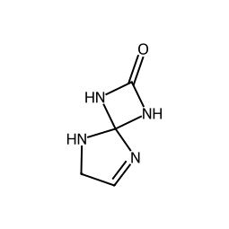 O=C1NC2(N=CCN2)N1